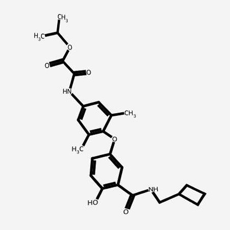 Cc1cc(NC(=O)C(=O)OC(C)C)cc(C)c1Oc1ccc(O)c(C(=O)NCC2CCC2)c1